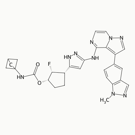 Cn1ncc2cc(-c3cnn4ccnc(Nc5cc([C@@H]6CC[C@H](OC(=O)NC78CC(C7)C8)[C@@H]6F)[nH]n5)c34)ccc21